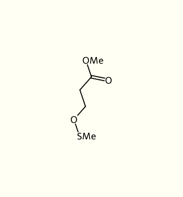 COC(=O)CCOSC